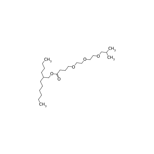 CCCCCCC(CCCC)COC(=O)CCCOCCOCCOCC(C)C